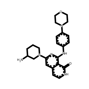 NC1CCCN(c2cc3cc[nH]c(=O)c3c(Nc3ccc(N4CCOCC4)cc3)n2)C1